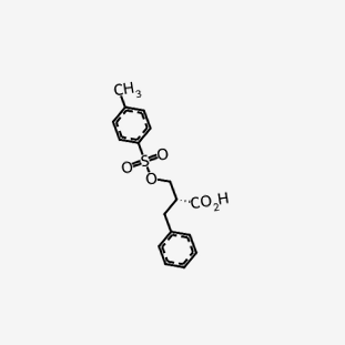 Cc1ccc(S(=O)(=O)OC[C@@H](Cc2ccccc2)C(=O)O)cc1